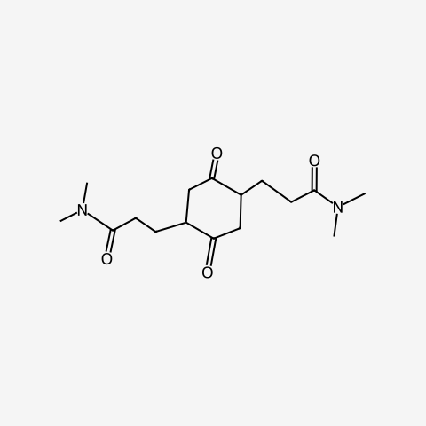 CN(C)C(=O)CCC1CC(=O)C(CCC(=O)N(C)C)CC1=O